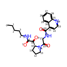 CCCCCNC(=O)C(=O)[C@@H]1CCCN1C(=O)CNC(=O)c1ccnc2ccccc12